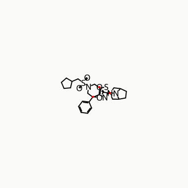 O=C(OCc1ccccc1)N1CC2CCC(C1)N2c1nc2c(s1)CN(S(=O)(=O)CC1CCCC1)CC2